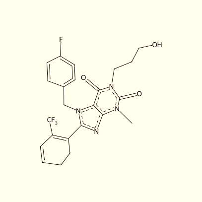 Cn1c(=O)n(CCCO)c(=O)c2c1nc(C1=C(C(F)(F)F)C=CCC1)n2CC1=C=C=C(F)C=C1